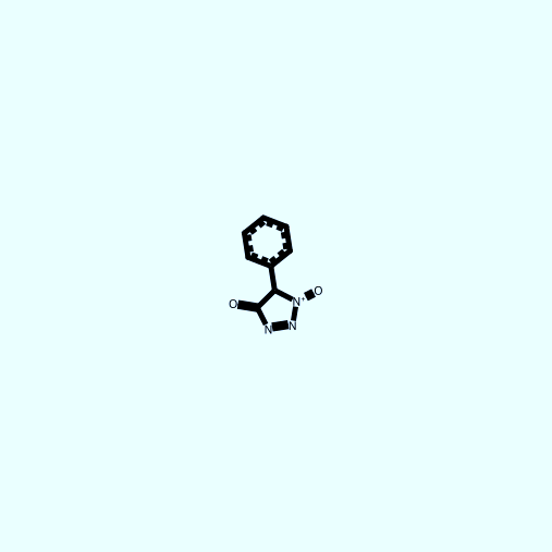 O=C1N=N[N+](=O)C1c1ccccc1